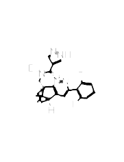 CCN(C[C@@]12CC[C@@H](c3cc(-c4c(F)cccc4F)nnc31)C2(C)C)C(=O)c1cn[nH]c1